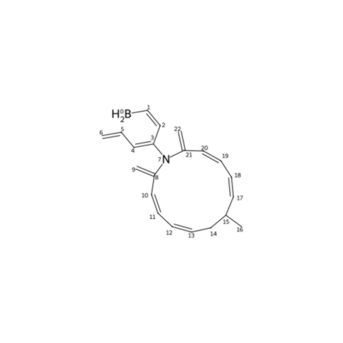 B/C=C\C(=C/C=C)N1C(=C)/C=C\C=C/CC(C)/C=C\C=C/C1=C